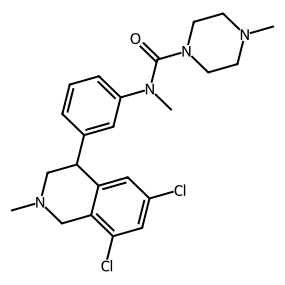 CN1CCN(C(=O)N(C)c2cccc(C3CN(C)Cc4c(Cl)cc(Cl)cc43)c2)CC1